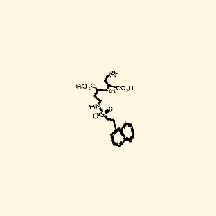 CC(C)CC(NC(CCNS(=O)(=O)CCc1cccc2ccccc12)C(=O)O)C(=O)O